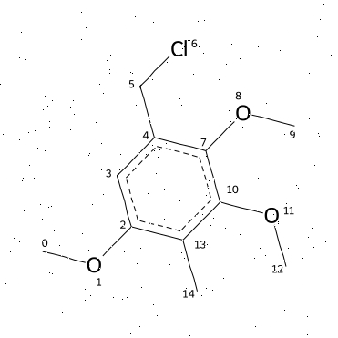 COc1cc(CCl)c(OC)c(OC)c1C